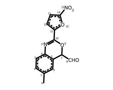 Cc1ccc2c(c1)C(C=O)OC(c1ccc([N+](=O)[O-])o1)=N2